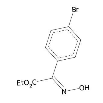 CCOC(=O)/C(=N/O)c1ccc(Br)cc1